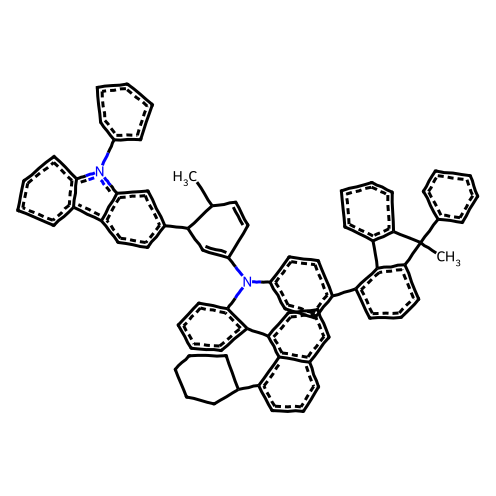 CC1C=CC(N(c2ccc(-c3cccc4c3-c3ccccc3C4(C)c3ccccc3)cc2)c2ccccc2-c2cccc3cccc(C4CCCCC4)c23)=CC1c1ccc2c3ccccc3n(-c3ccccc3)c2c1